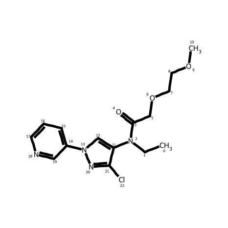 CCN(C(=O)COCCOC)c1cn(-c2cccnc2)nc1Cl